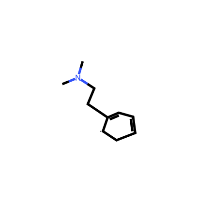 CN(C)CCC1=CC=CC[CH]1